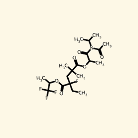 CCC(F)(CC(C)(C)C(=O)OC(C)C(=O)N(C(C)=O)C(C)C)C(=O)OC(C)C(F)(F)F